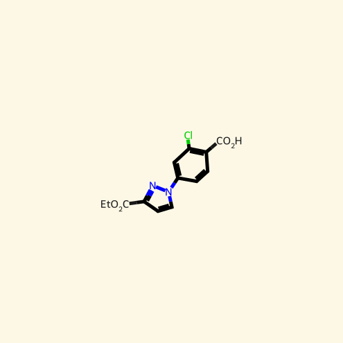 CCOC(=O)c1ccn(-c2ccc(C(=O)O)c(Cl)c2)n1